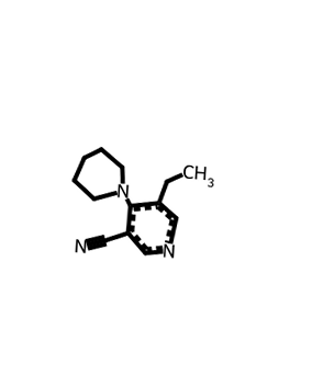 CCc1cncc(C#N)c1N1CCCCC1